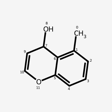 Cc1cccc2c1C(O)C=CO2